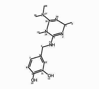 CC1N=C(NCc2ccc(O)c(O)c2)N(C)C(N(C)C)=N1